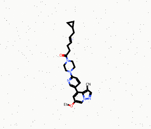 CCOc1cc(-c2ccc(N3CCN(C(=O)CC/C=C/CC4CC4)CC3)nc2)c2c(C#N)cnn2c1